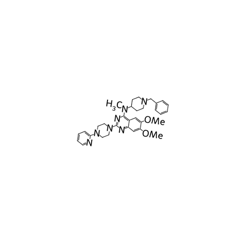 COc1cc2nc(N3CCN(c4ccccn4)CC3)nc(N(C)C3CCN(Cc4ccccc4)CC3)c2cc1OC